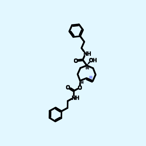 O=C(NCCc1ccccc1)O[C@@H]1/C=C/CC[C@](O)(C(=O)NCCc2ccccc2)CC1